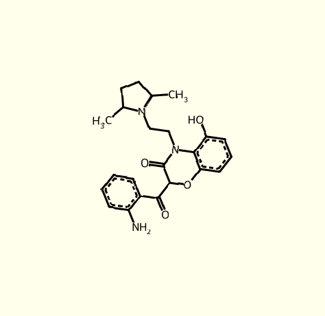 CC1CCC(C)N1CCN1C(=O)C(C(=O)c2ccccc2N)Oc2cccc(O)c21